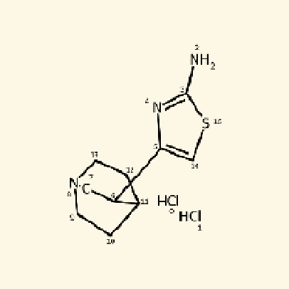 Cl.Cl.Nc1nc(C2CN3CCC2CC3)cs1